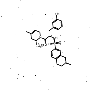 CCOC(=O)[C@@H]1CC(C)=CCN1C(=O)[C@H](Cc1cccc(C#N)c1)NS(=O)(=O)c1ccc2c(c1)CN(C)CC2